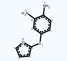 Nc1ccc(Sc2ccco2)cc1N